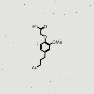 COc1cc(CCCC(C)=O)ccc1OCC(=O)C(C)C